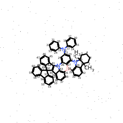 CC12CCCCC1(C)N1c3cc(N(c4ccccc4)c4ccccc4)cc4c3B(c3cccc2c31)c1cccc2c3c(n-4c12)-c1ccccc1C31c2ccccc2-c2ccccc21